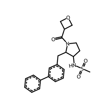 CS(=O)(=O)NC1CCN(C(=O)C2COC2)C1Cc1cccc(-c2ccccc2)c1